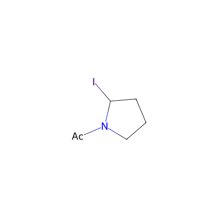 CC(=O)N1CCCC1I